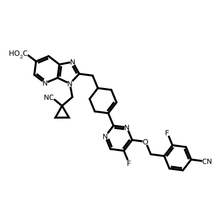 N#Cc1ccc(COc2nc(C3=CCC(Cc4nc5cc(C(=O)O)cnc5n4CC4(C#N)CC4)CC3)ncc2F)c(F)c1